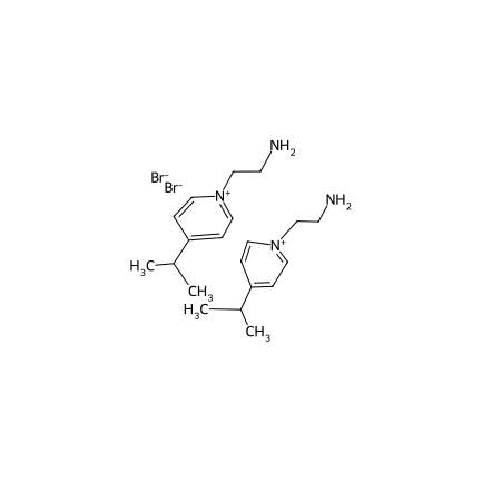 CC(C)c1cc[n+](CCN)cc1.CC(C)c1cc[n+](CCN)cc1.[Br-].[Br-]